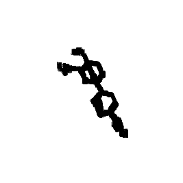 C#Cc1ccc(C23OCC(CCC)(CO2)C(C)O3)cc1